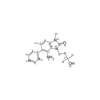 Cc1cc2c(c(N)c1-c1ccncn1)n(CCC(C)(C)O)c(=O)n2C